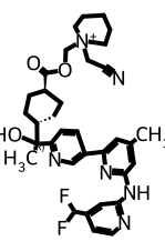 Cc1cc(Nc2cc(C(F)F)ccn2)nc(-c2ccc([C@](C)(O)[C@H]3CC[C@H](C(=O)OC[N+]4(CC#N)CCCCC4)CC3)nc2)c1